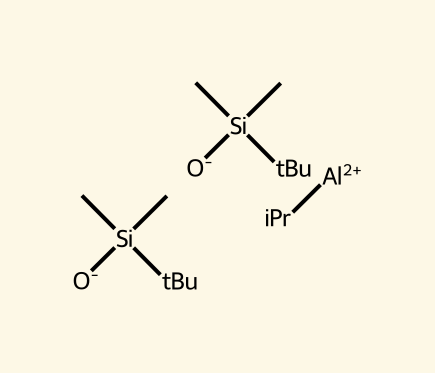 CC(C)(C)[Si](C)(C)[O-].CC(C)(C)[Si](C)(C)[O-].C[CH](C)[Al+2]